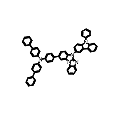 c1ccc(-c2ccc(N(c3ccc(-c4ccccc4)cc3)c3ccc(-c4ccc5c(c4)n4c6ccccc6nc4n5-c4ccc5c(c4)c4ccccc4n5-c4ccccc4)cc3)cc2)cc1